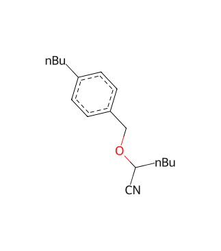 CCCCc1ccc(COC(C#N)CCCC)cc1